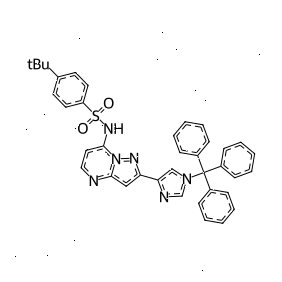 CC(C)(C)c1ccc(S(=O)(=O)Nc2ccnc3cc(-c4cn(C(c5ccccc5)(c5ccccc5)c5ccccc5)cn4)nn23)cc1